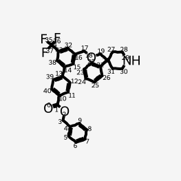 O=C(OCc1ccccc1)c1ccc(-c2cc(COCC3(c4ccccc4)CCNCC3)cc(C(F)(F)F)c2)cc1